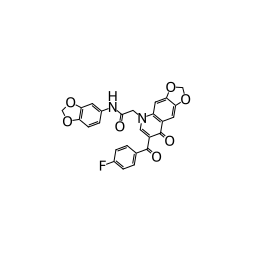 O=C(Cn1cc(C(=O)c2ccc(F)cc2)c(=O)c2cc3c(cc21)OCO3)Nc1ccc2c(c1)OCO2